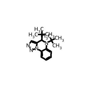 CC(C)(C)C1c2cnnn2-c2ccccc2N1C(C)(C)C